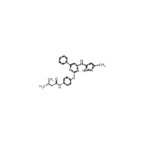 Cc1cc(Nc2cc(-c3ccccc3)nc(Sc3ccc(NC(=O)CN(C)C)cc3)n2)[nH]n1